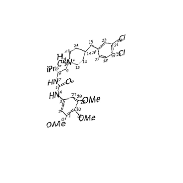 COc1cc(NC(=O)N[C@@H](C[N+]2(C)CCC(Cc3ccc(Cl)c(Cl)c3)CC2)C(C)C)cc(OC)c1OC